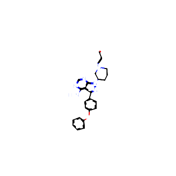 Nc1ncnc2c1c(-c1ccc(Oc3ccccc3)cc1)nn2C1CCCN(C=CC=O)C1